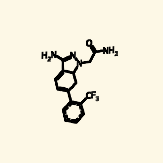 NC(=O)CN1N=C(N)C2=CC=C(c3ccccc3C(F)(F)F)CC21